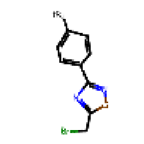 CC(C)(C)c1ccc(-c2nsc(CBr)n2)cc1